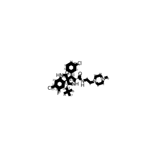 CN1CCN(CCNC(=O)[C@@H]2N[C@H](CC(C)(C)C)[C@]3(C(=O)Nc4cc(Cl)c(F)cc43)[C@H]2c2cccc(Cl)c2)CC1